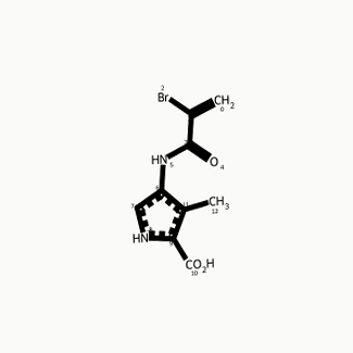 C=C(Br)C(=O)Nc1c[nH]c(C(=O)O)c1C